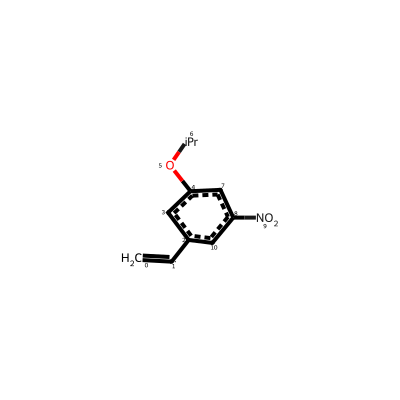 C=[C]c1cc(OC(C)C)cc([N+](=O)[O-])c1